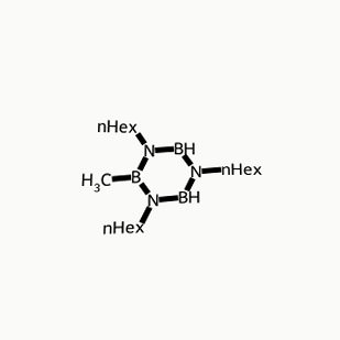 CCCCCCN1BN(CCCCCC)B(C)N(CCCCCC)B1